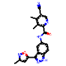 Cc1cc(-c2n[nH]c3ccc(NC(=O)c4ncc(C#N)c(C)c4C)cc23)on1